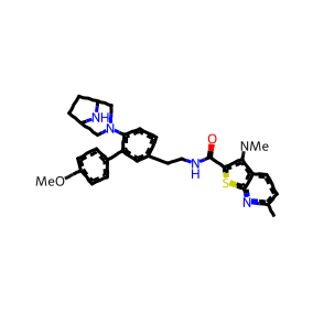 CNc1c(C(=O)NCCc2ccc(N3CC4CCC(C3)N4)c(-c3ccc(OC)cc3)c2)sc2nc(C)ccc12